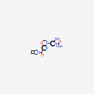 CNC(=O)n1ccc(N2CCOc3cc(C(=O)N4CC5CCC5C4)cnc32)cc1=N